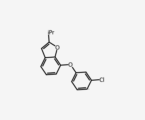 CC(C)c1cc2cccc(Oc3cc[c]c(Cl)c3)c2o1